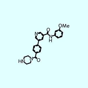 COc1cccc(NC(=O)c2cncc(-c3ccc(C(=O)N4CCNCC4)cc3)c2)c1